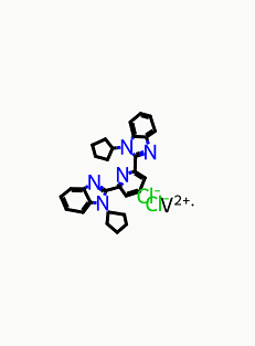 [Cl-].[Cl-].[V+2].c1cc(-c2nc3ccccc3n2C2CCCC2)nc(-c2nc3ccccc3n2C2CCCC2)c1